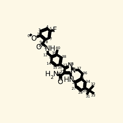 COc1ccc(F)cc1C(=O)NCc1ccc(-c2nn3c(c2C(N)=O)Nc2ccc(C(C)(C)C)cc2CC3)cc1C